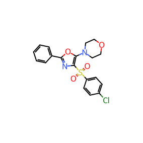 O=S(=O)(c1ccc(Cl)cc1)c1nc(-c2ccccc2)oc1N1CCOCC1